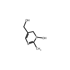 CC1=NC=C(CO)CN1O